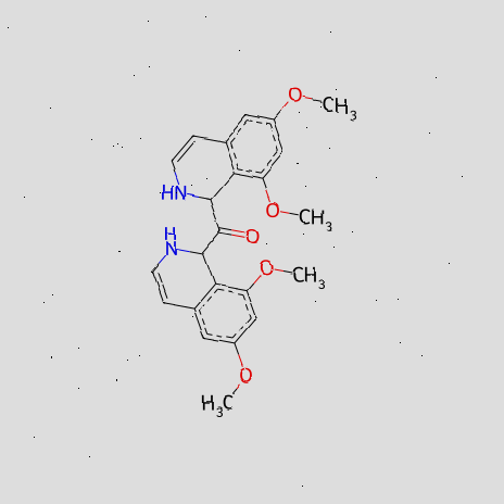 COc1cc2c(c(OC)c1)C(C(=O)C1NC=Cc3cc(OC)cc(OC)c31)NC=C2